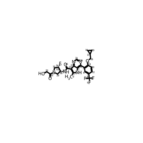 Cc1[nH]c2c(-c3cc(C(F)(F)F)ccc3OCC3CC3)ncnc2c1C(=O)N[C@H]1CN(C(=O)CO)C[C@@H]1F